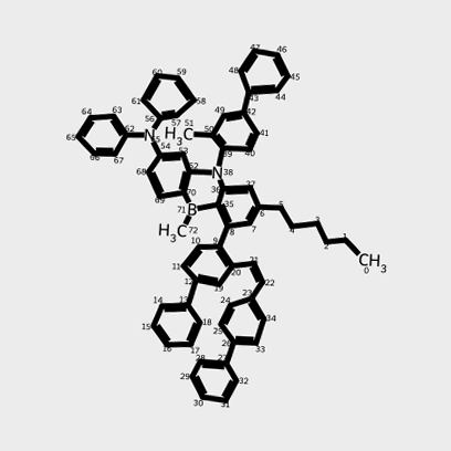 CCCCCCc1cc(-c2ccc(-c3ccccc3)cc2/C=C\c2ccc(-c3ccccc3)cc2)c2c(c1)N(c1ccc(-c3ccccc3)cc1C)c1cc(N(c3ccccc3)c3ccccc3)ccc1B2C